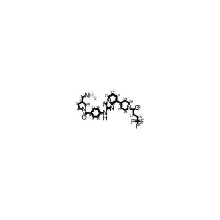 NCC1CCN(C(=O)c2ccc(Nc3nc4c(C5=CCN(C(=O)CCC(F)(F)F)CC5)cccn4n3)cc2)C1